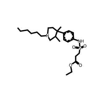 CCCCCCN1CCC(C)(c2ccc(NS(=O)(=O)CCC(=O)OCC)cc2)C(C)C1